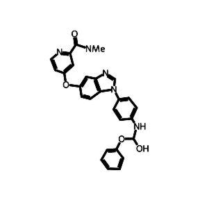 CNC(=O)c1cc(Oc2ccc3c(c2)ncn3-c2ccc(NC(O)Oc3ccccc3)cc2)ccn1